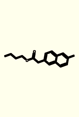 CCCCOC(=O)Cc1ccc2cc(C)ccc2c1